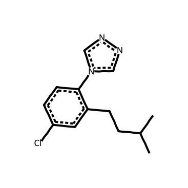 CC(C)CCc1cc(Cl)ccc1-n1cnnc1